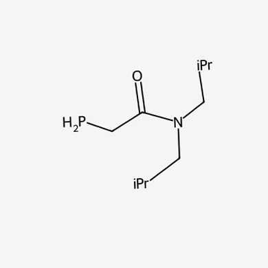 CC(C)CN(CC(C)C)C(=O)CP